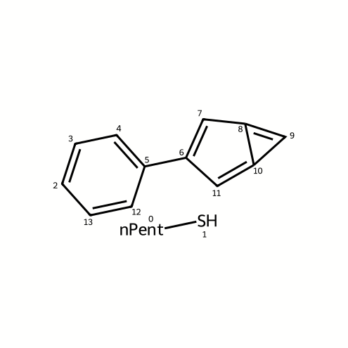 CCCCCS.c1ccc(-c2cc3cc-3c2)cc1